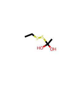 CCSSC(C)(O)O